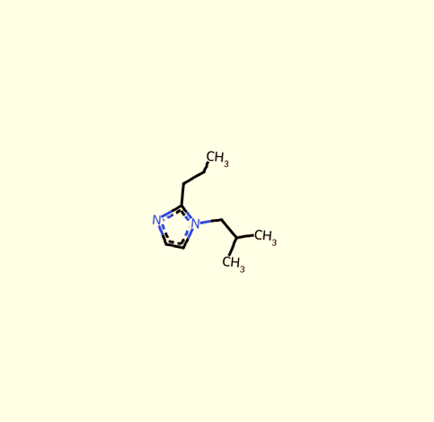 CCCc1nccn1CC(C)C